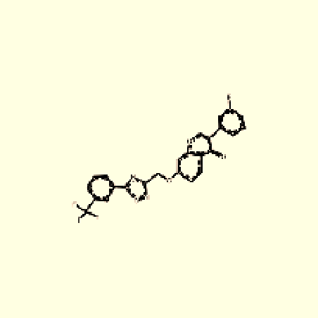 O=c1c(-c2cccc(F)c2)coc2cc(OCc3noc(-c4cccc(C(F)(F)F)c4)n3)ccc12